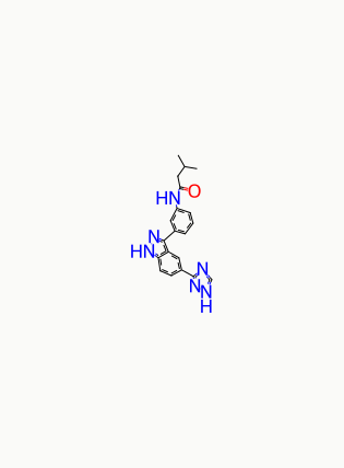 CC(C)CC(=O)Nc1cccc(-c2n[nH]c3ccc(-c4nc[nH]n4)cc23)c1